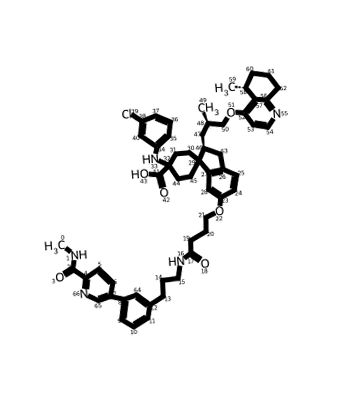 CNC(=O)c1ccc(-c2cccc(CCCNC(=O)CCCOc3ccc4c(c3)C3(CCC(Nc5cccc(Cl)c5)(C(=O)O)CC3)[C@@H](C[C@@H](C)COc3ccnc5c3[C@H](C)CCC5)C4)c2)cn1